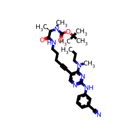 CCCN(C)c1nc(Nc2cccc(C#N)c2)ncc1C#CCCCNC(=O)[C@H](C)N(C)C(=O)OC(C)(C)C